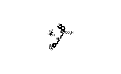 CS(=O)(=O)c1ccc(CCCNCCCn2nc3c(c2C(=O)O)CCc2cnccc2-3)cc1.O=C(O)C(F)(F)F